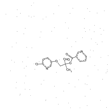 CC(C=O)(COc1ccc(Cl)nc1)OC(=O)c1cccnc1